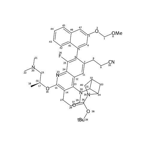 COCOc1cc(-c2c(CCC#N)cc3c4c(c(O[C@@H](C)CN(C)C)nc3c2F)CCCN4C2C3CC2N(C(=O)OC(C)(C)C)C3)c2ccccc2c1